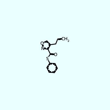 C=CCc1conc1C(=O)Sc1ccccc1